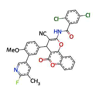 COc1ccc(C2C(C#N)=C(NC(=O)c3cc(Cl)ccc3Cl)Oc3c2c(=O)oc2ccccc32)cc1-c1cnc(F)c(C)c1